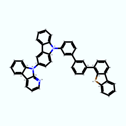 c1cc(-c2cccc(-n3c4ccccc4c4cc(-n5c6ccccc6c6cccnc65)ccc43)c2)cc(-c2cccc3c2sc2ccccc23)c1